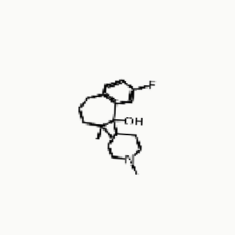 CN1CCC(C2(O)c3cc(F)ccc3CCCC2(C)C)CC1